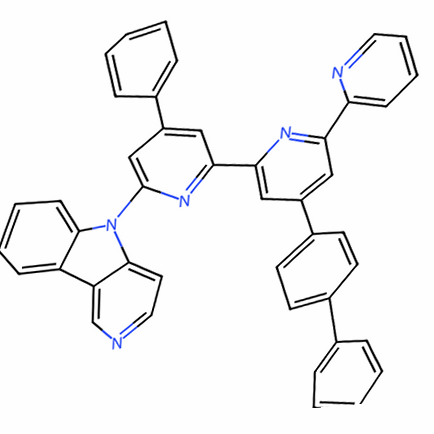 c1ccc(-c2ccc(-c3cc(-c4ccccn4)nc(-c4cc(-c5ccccc5)cc(-n5c6ccccc6c6cnccc65)n4)c3)cc2)cc1